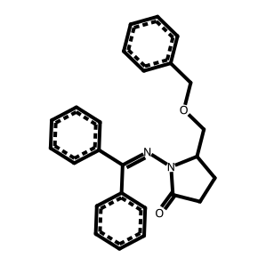 O=C1CCC(COCc2ccccc2)N1N=C(c1ccccc1)c1ccccc1